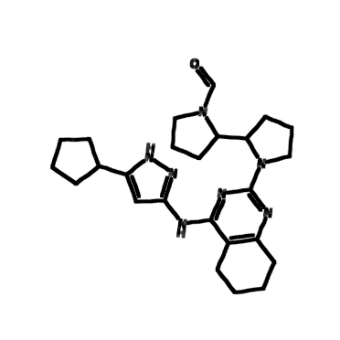 O=CN1CCCC1C1CCCN1c1nc2c(c(Nc3cc(C4CCCC4)[nH]n3)n1)CCCC2